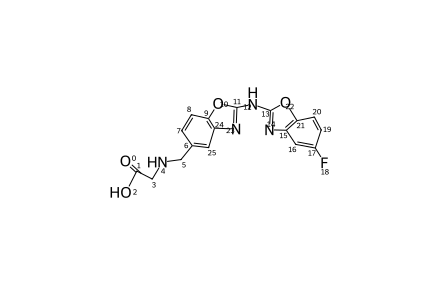 O=C(O)CNCc1ccc2oc(Nc3nc4cc(F)ccc4o3)nc2c1